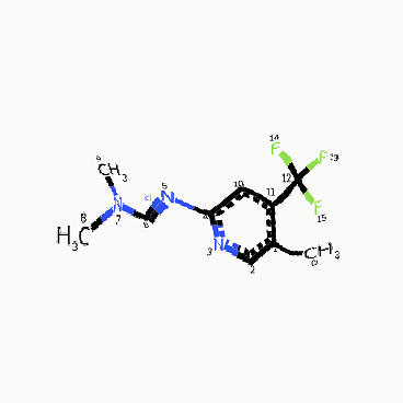 Cc1cnc(/N=C/N(C)C)cc1C(F)(F)F